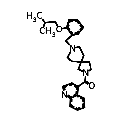 CC(C)COc1ccccc1CN1CCC2(CC1)CCN(C(=O)c1ccnc3ccccc13)C2